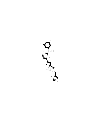 Cc1cc(C)cc(Nc2nccc(-c3cc(C(=O)NCc4cncn4C)n(C)n3)n2)c1